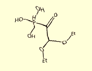 CCOC(OCC)C(=O)[PH](O)(O)O